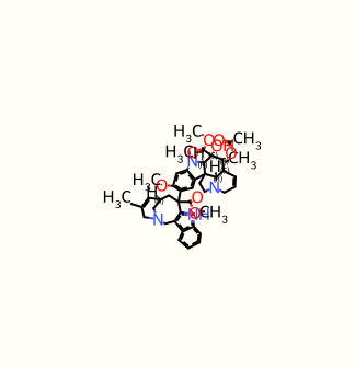 CCC1=C[C@@H]2CN(C1)Cc1c([nH]c3ccccc13)C(C(=O)OC)(c1cc3c(cc1OC)N(C)[C@@H]1C34CCN3CC=C[C@@](CC)([C@H]34)[C@@H](OC(C)=O)[C@]1(O)C(=O)OC)C2